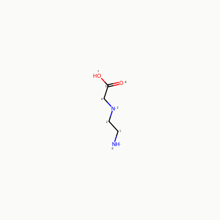 [NH]CC[N]CC(=O)O